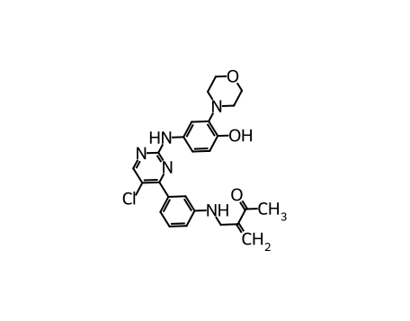 C=C(CNc1cccc(-c2nc(Nc3ccc(O)c(N4CCOCC4)c3)ncc2Cl)c1)C(C)=O